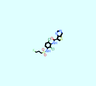 O=C(Nc1c(Cl)ccc(NS(=O)(=O)CCCF)c1Cl)c1csc2cncnc12